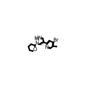 Cc1cnc(/C(C=N)=C/NC2CCCCO2)cc1Br